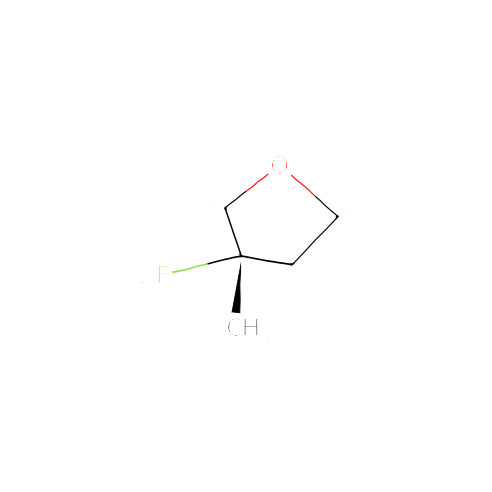 C[C@]1(F)CCOC1